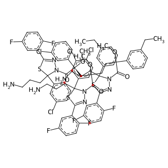 CCc1cccc(C(CCC(C[C@@](OC)(C(=O)N2N=C(c3cc(F)ccc3F)SC2(CCCN)c2cccc(Cl)c2)c2cccc(Cl)c2)(OC)C(=O)N2N=C(c3cc(F)ccc3F)SC2(CCCN)c2ccc(Cl)c(Cl)c2)(OC)C(=O)N2N=C(c3cc(F)ccc3F)SC2(CCCN)c2cccc(CC)c2)c1